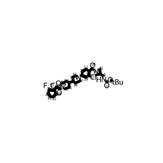 CC(C)(C)OC(=O)NCC1CN(C(=O)c2ccc(N3CCC(C4CCN(C(=O)C(O)(c5ccccc5)C(F)(F)F)CC4)CC3)cc2Cl)C1